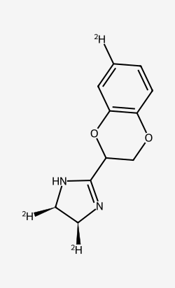 [2H]c1ccc2c(c1)OC(C1=N[C@@H]([2H])[C@@H]([2H])N1)CO2